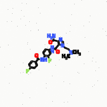 CN(C)CCn1cnc(C(N)=O)c1C(=O)Nc1ccc(NC(=O)c2ccc(F)cc2)c(F)c1